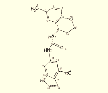 Cc1ccc2c(c1)C(NC(=O)Nc1cc(Cl)c3cc[nH]c3c1)CCO2